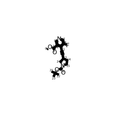 COC(=O)c1cncc(F)c1C#CC1CCN(C(=O)OC(C)(C)C)C1